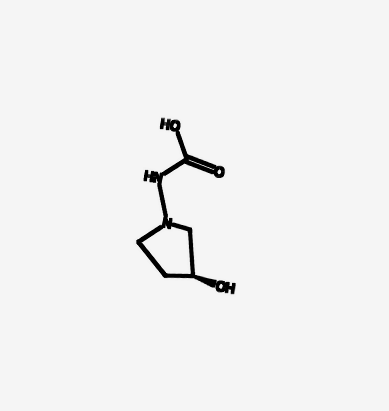 O=C(O)NN1CC[C@H](O)C1